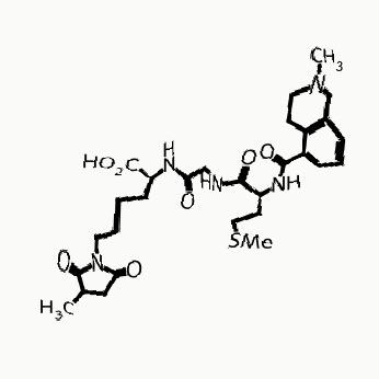 CSCC[C@H](NC(=O)c1cccc2c1CCN(C)C2)C(=O)NCC(=O)N[C@@H](CCCCN1C(=O)CC(C)C1=O)C(=O)O